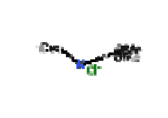 CCCCCCCCCCCCCCCCCC[N+](C)(C)CCCCCCCCCCCC[Si](C)(OC)OC.[Cl-]